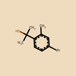 Cc1cc(C(C)C)ccc1C(C)(C)S